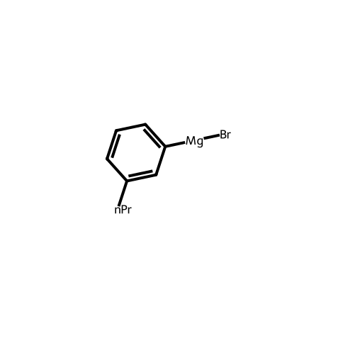 CCCc1ccc[c]([Mg][Br])c1